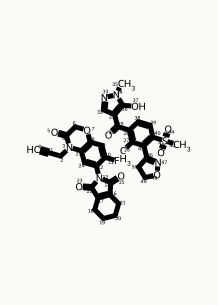 C#CCN1C(=O)COc2cc(F)c(N3C(=O)C4=C(CCCC4)C3=O)cc21.Cc1c(C(=O)c2cnn(C)c2O)ccc(S(C)(=O)=O)c1C1=NOCC1